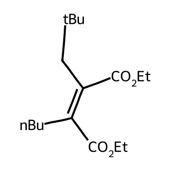 CCCCC(C(=O)OCC)=C(CC(C)(C)C)C(=O)OCC